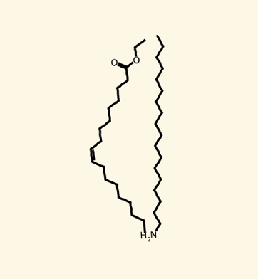 CCCCCCCC/C=C\CCCCCCCC(=O)OCC.CCCCCCCCCCCCCCCCCCN